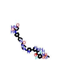 CCN(C)S(=O)(=O)Nc1ccc(F)c(C(=O)c2c[nH]c3ncc(-c4ccc(CN5CCN(CC(=O)N6CCC(c7ccc(NC8CCC(=O)NC8=O)cc7)CC6)CC5)nc4)cc23)c1F